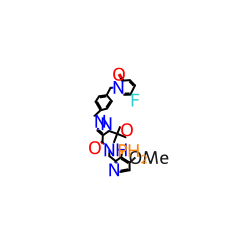 COc1ccnc(CNC(=O)c2cn(Cc3ccc(Cn4cc(F)ccc4=O)cc3)nc2C2(C)COC2)c1P